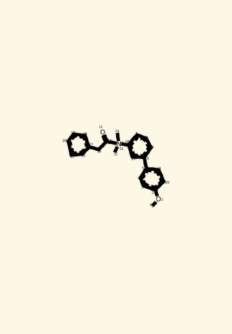 [CH2]Oc1ccc(-c2cccc([N+](C)(C)C(=O)Cc3ccccc3)c2)cc1